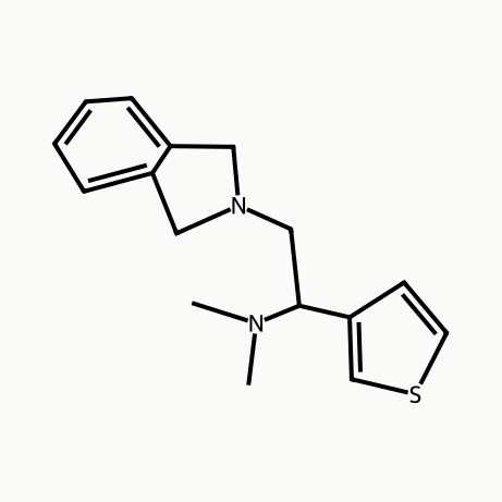 CN(C)C(CN1Cc2ccccc2C1)c1ccsc1